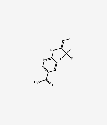 CC=C(Nc1ccc(C(N)=O)nn1)C(F)(F)F